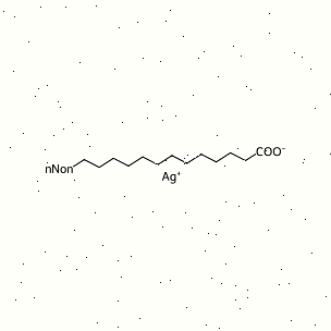 CCCCCCCCCCCCCCCCCCCCCC(=O)[O-].[Ag+]